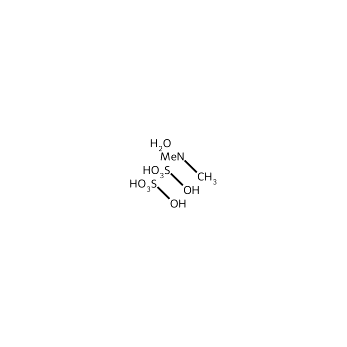 CNC.O.O=S(=O)(O)O.O=S(=O)(O)O